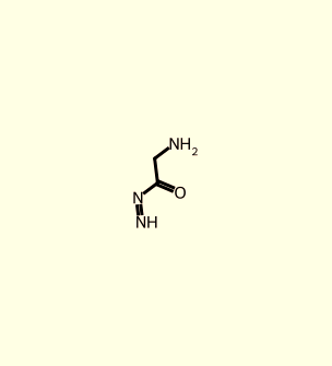 N=NC(=O)CN